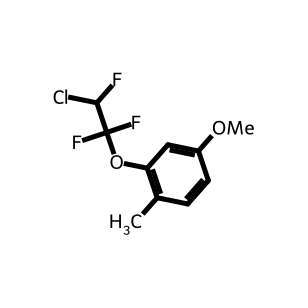 COc1ccc(C)c(OC(F)(F)C(F)Cl)c1